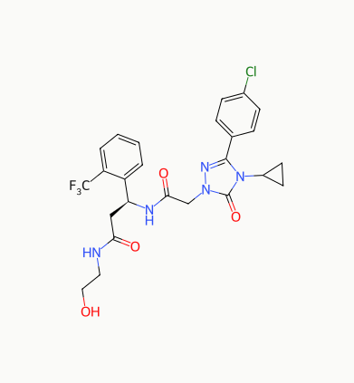 O=C(C[C@H](NC(=O)Cn1nc(-c2ccc(Cl)cc2)n(C2CC2)c1=O)c1ccccc1C(F)(F)F)NCCO